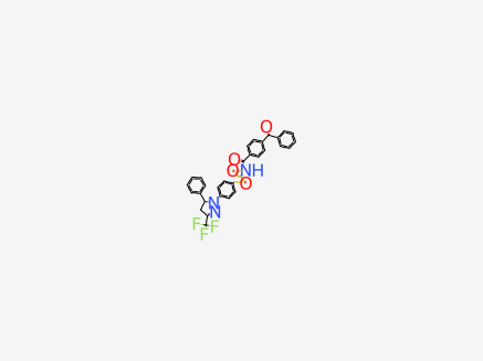 O=C(NS(=O)(=O)c1ccc(N2N=C(C(F)(F)F)CC2c2ccccc2)cc1)c1ccc(C(=O)c2ccccc2)cc1